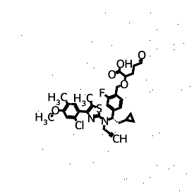 C#CCN(c1nc(-c2cc(C)c(OC)cc2Cl)c(C)s1)[C@@H](CC1CC1)c1ccc(COC(CCC=O)C(=O)O)c(F)c1